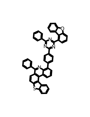 c1ccc(-c2nc(-c3ccc(-c4cccc5c4nc(-c4ccccc4)c4ccc6sc7ccccc7c6c45)cc3)nc(-c3cccc4oc5ccccc5c34)n2)cc1